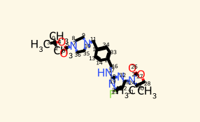 CC(C)(C)OC(=O)N1CCN(Cc2ccc(CNc3nc(F)cc(N4C(=O)OCC4(C)C)n3)cc2)CC1